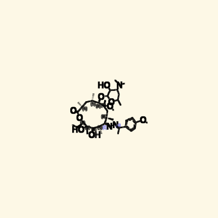 CC[C@H]1OC(=O)[C@H](C)C[C@H](C)[C@@H](OC2OC(C)CC(N(C)C)C2O)[C@](C)(OC)C[C@@H](C)/C(=N\N=C(/C)c2ccc(OC)cc2)[C@H](C)[C@@H](O)[C@]1(C)O